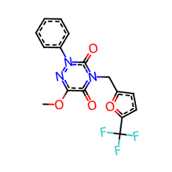 COc1nn(-c2ccccc2)c(=O)n(Cc2ccc(C(F)(F)F)o2)c1=O